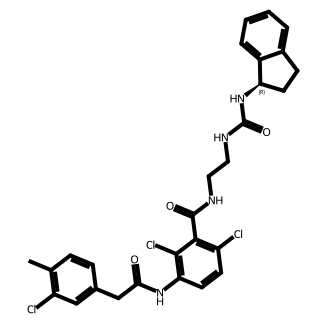 Cc1ccc(CC(=O)Nc2ccc(Cl)c(C(=O)NCCNC(=O)N[C@@H]3CCc4ccccc43)c2Cl)cc1Cl